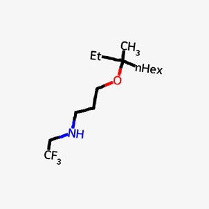 CCCCCCC(C)(CC)OCCCNCC(F)(F)F